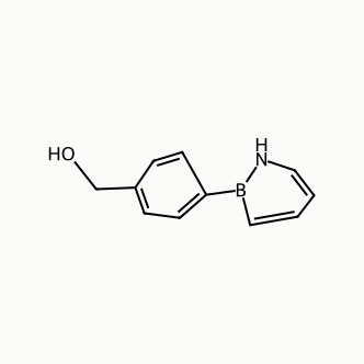 OCc1ccc(B2C=CC=CN2)cc1